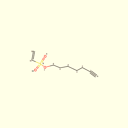 C#CCCCCCOS(=O)(=O)C=C